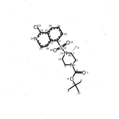 C[C@@H]1CN(C(=O)OC(C)(C)C)CCN1S(=O)(=O)c1cccc2c(Cl)nccc12